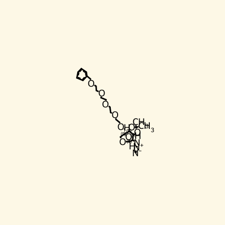 CC1(C)O[C@@H]2C(N=[N+]=[N-])[C@H]3OC[C@](COCCOCCOCCOCCOCc4ccccc4)(O3)[C@@H]2O1